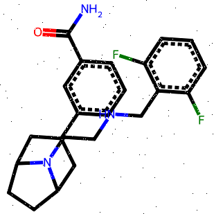 NC(=O)c1cccc(C2CC3CCC(C2)N3CCNCc2c(F)cccc2F)c1